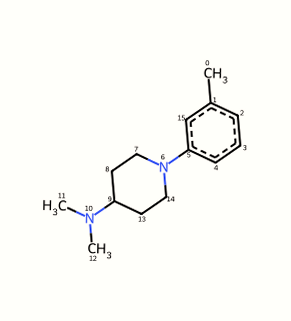 Cc1cccc(N2CCC(N(C)C)CC2)c1